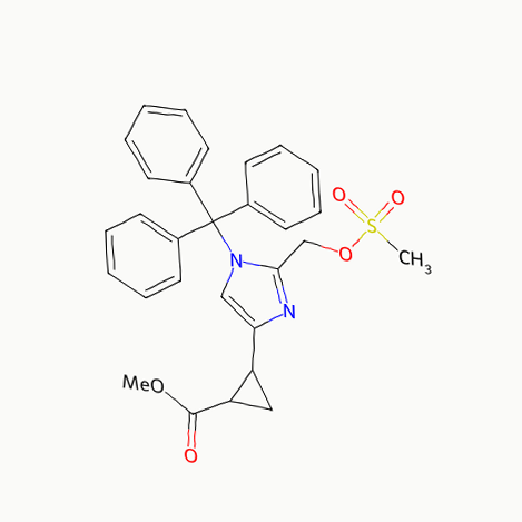 COC(=O)C1CC1c1cn(C(c2ccccc2)(c2ccccc2)c2ccccc2)c(COS(C)(=O)=O)n1